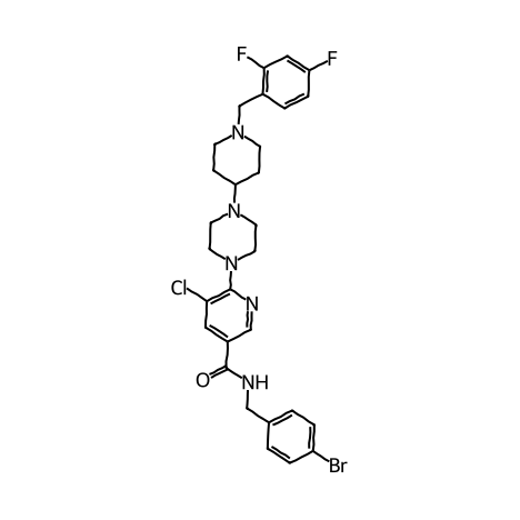 O=C(NCc1ccc(Br)cc1)c1cnc(N2CCN(C3CCN(Cc4ccc(F)cc4F)CC3)CC2)c(Cl)c1